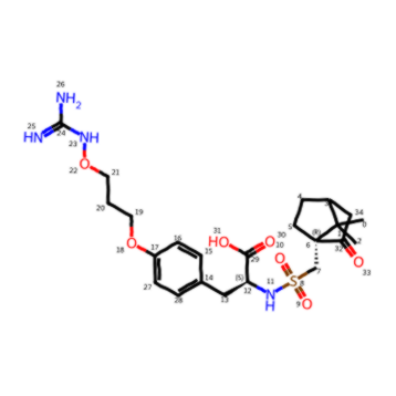 CC1(C)C2CC[C@]1(CS(=O)(=O)N[C@@H](Cc1ccc(OCCCONC(=N)N)cc1)C(=O)O)C(=O)C2